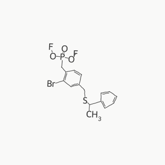 CC(SCc1ccc(CP(=O)(OF)OF)c(Br)c1)c1ccccc1